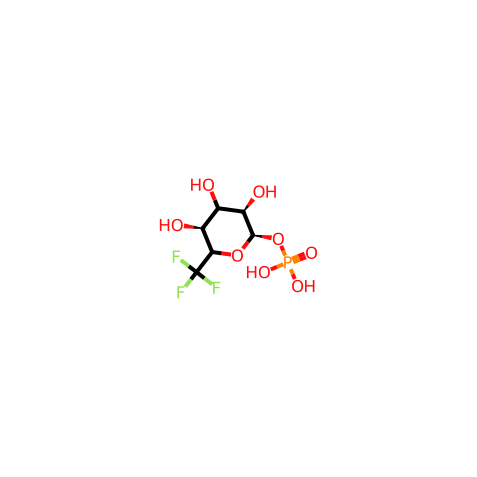 O=P(O)(O)O[C@H]1OC(C(F)(F)F)[C@@H](O)C(O)[C@H]1O